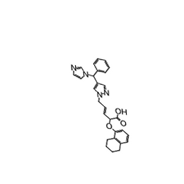 O=C(O)C(C=CCn1cc(C(c2ccccc2)n2ccnc2)cn1)Oc1cccc2c1CCCC2